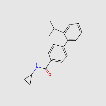 CC(C)c1ccccc1-c1ccc(C(=O)NC2CC2)cc1